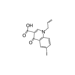 C=CCn1cc(C(=O)O)c(=O)c2cc(I)ccc21